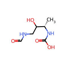 C[C@H](NC(=O)O)C(O)CNC=O